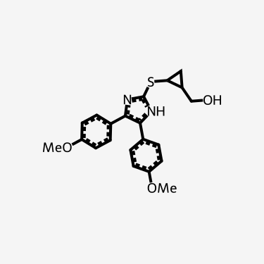 COc1ccc(-c2nc(SC3CC3CO)[nH]c2-c2ccc(OC)cc2)cc1